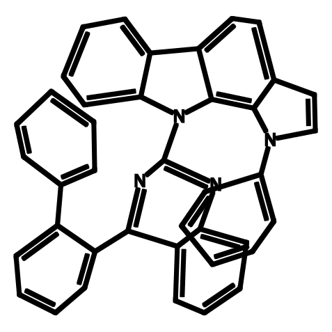 c1ccc(-c2ccccc2-c2nc(-n3c4ccccc4c4ccc5ccn(-c6ccccc6)c5c43)nc3ccccc23)cc1